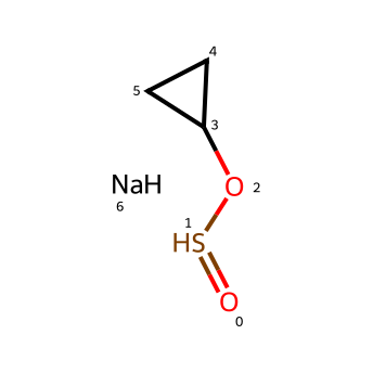 O=[SH]OC1CC1.[NaH]